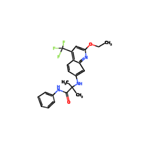 CCOc1cc(C(F)(F)F)c2ccc(NC(C)(C)C(=O)Nc3ccccc3)cc2n1